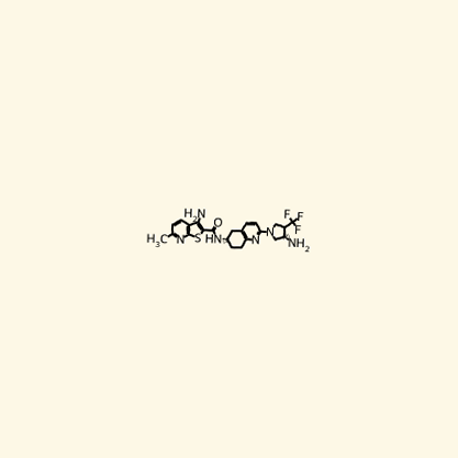 Cc1ccc2c(N)c(C(=O)N[C@H]3CCc4nc(N5CC(C(F)(F)F)[C@@H](N)C5)ccc4C3)sc2n1